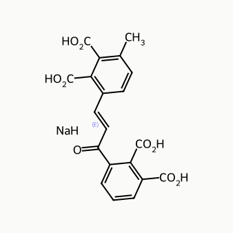 Cc1ccc(/C=C/C(=O)c2cccc(C(=O)O)c2C(=O)O)c(C(=O)O)c1C(=O)O.[NaH]